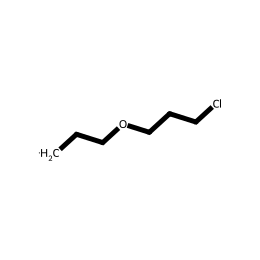 [CH2]CCOCCCCl